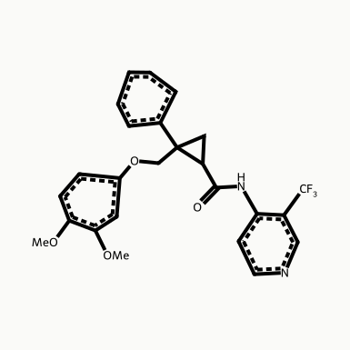 COc1ccc(OCC2(c3ccccc3)CC2C(=O)Nc2ccncc2C(F)(F)F)cc1OC